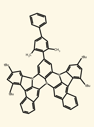 Cc1cc(-c2ccccc2)cc(C)c1-c1cc2c3c(c1)-n1c4cc(C(C)(C)C)cc(C(C)(C)C)c4c4c5ccccc5cc(c41)B3c1cc3ccccc3c3c4c(C(C)(C)C)cc(C(C)(C)C)cc4n-2c13